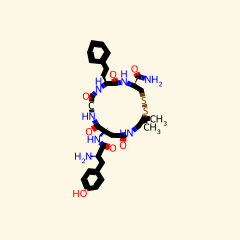 CC1(C)CNC(=O)C[C@@H](NC(=O)[C@@H](N)Cc2ccc(O)cc2)C(=O)NCC(=O)N[C@@H](CCc2ccccc2)C(=O)N[C@H](C(N)=O)CSS1